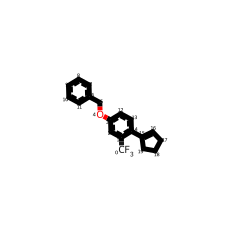 FC(F)(F)c1cc(OCc2ccccc2)ccc1C1=CCCC1